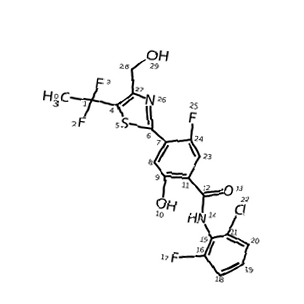 CC(F)(F)c1sc(-c2cc(O)c(C(=O)Nc3c(F)cccc3Cl)cc2F)nc1CO